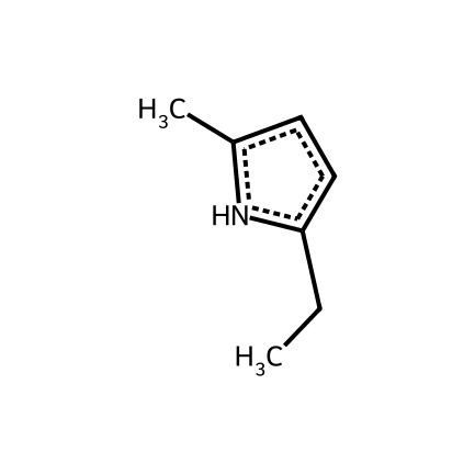 CCc1ccc(C)[nH]1